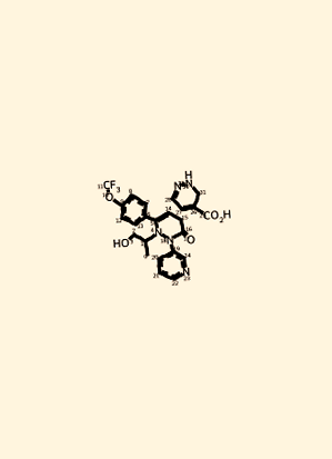 CC(CO)N1C(c2ccc(OC(F)(F)F)cc2)=CCC(=O)N1c1cccnc1.O=C(O)C1=CC=NNC1